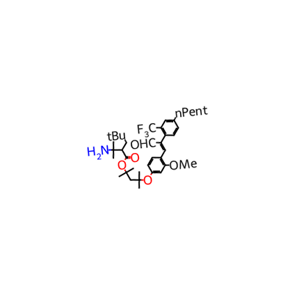 CCCCCc1ccc(/C(C=O)=C/c2ccc(OC(C)(C)CC(C)(C)OC(=O)C(CC(C)(C)C)C(C)(C)N)cc2OC)c(C(F)(F)F)c1